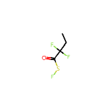 CCC(F)(F)C(=O)SF